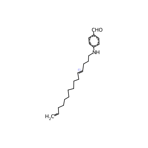 C=CCCCCCCCC/C=C/CCCNc1ccc(C=O)cc1